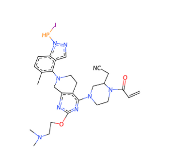 C=CC(=O)N1CCN(c2nc(OCCN(C)C)nc3c2CCN(c2c(C)ccc4c2cnn4PI)C3)CC1CC#N